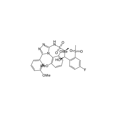 COc1cccc(-c2nnc(NS(=O)(=O)[C@@H](C)[C@H](O)c3ccc(F)cc3S(C)(=O)=O)n2-c2c(OC)cccc2OC)n1